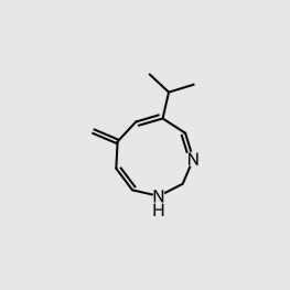 C=C1/C=C\NC/N=C\C(C(C)C)=C/1